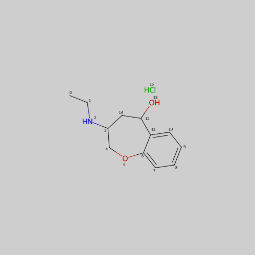 CCNC1COc2ccccc2C(O)C1.Cl